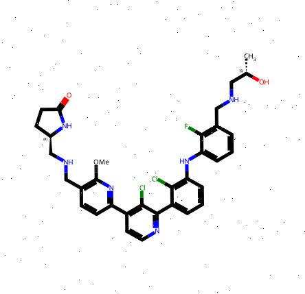 COc1nc(-c2ccnc(-c3cccc(Nc4cccc(CNC[C@H](C)O)c4F)c3Cl)c2Cl)ccc1CNC[C@H]1CCC(=O)N1